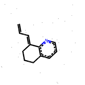 C=CC=C1CCCc2cccnc21